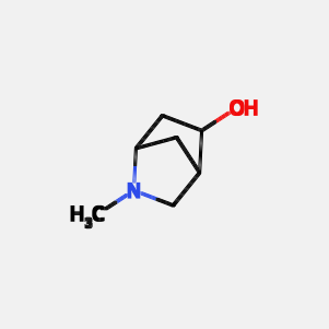 CN1CC2CC1CC2O